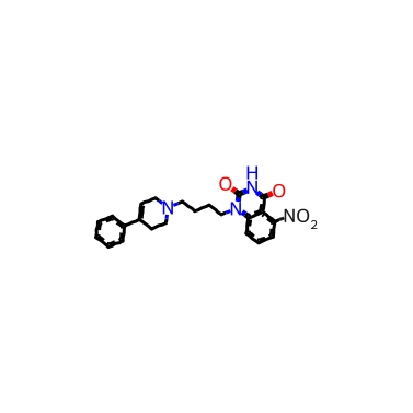 O=c1[nH]c(=O)n(CCCCN2CC=C(c3ccccc3)CC2)c2cccc([N+](=O)[O-])c12